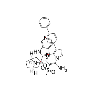 CS(=O)(=O)c1c([C@@H]2C[C@H]3CC[C@@H](C2)N3C(=O)c2nc3ccccc3[nH]2)nc2c(-c3ccc(-c4ccccc4)nc3)ccn2c1N